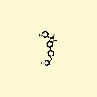 Cn1c(=O)n(C2CCCNC2)c2ccc(C3CCN(C[C@H]4CCNC4)CC3)cc21